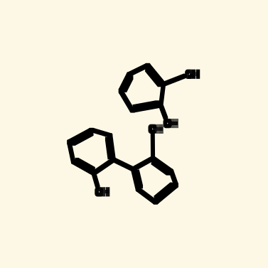 Oc1ccccc1-c1ccccc1O.Oc1ccccc1O